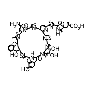 C=C(CC(=O)C(=C)NC(=O)c1csc(-c2ccc3c(n2)-c2csc(n2)-c2csc(n2)C(C(C)C(O)CO)NC(=O)C(Cc2ccc(O)cc2)NC(=O)c2csc(n2)C(C(O)c2ccccc2)CC(=O)c2nc(sc2C)C(CC(N)=O)NC(=O)c2csc-3n2)n1)C(=O)O